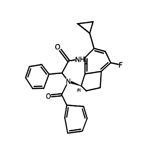 NC(=O)C(c1ccccc1)N(C(=O)c1ccccc1)[C@@H]1CCc2c(F)cc(C3CC3)cc21